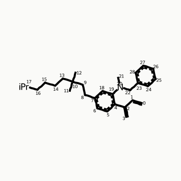 C=CC(=C)c1ccc(CCC(C)(C)CCCCC(C)C)cc1N(C)Cc1ccccc1